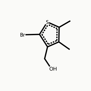 Cc1sc(Br)c(CO)c1C